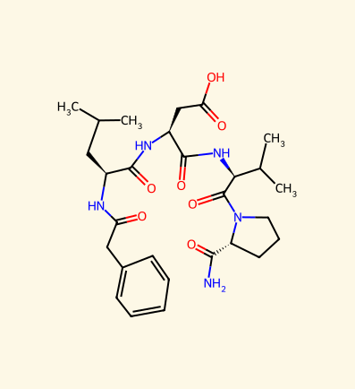 CC(C)C[C@H](NC(=O)Cc1ccccc1)C(=O)N[C@@H](CC(=O)O)C(=O)N[C@H](C(=O)N1CCC[C@@H]1C(N)=O)C(C)C